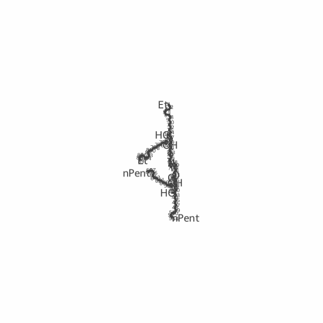 CC/C=C\C/C=C\C/C=C\CCCCCCC(O)CN(CCCCSSCCN1CCN(CCOC(=O)CCCN(CC(O)CCCCCC/C=C\C/C=C\CCCCC)CC(O)CCCCCC/C=C\C/C=C\CCCCC)CC1)CC(O)CCCCCC/C=C\C/C=C\C/C=C\CC